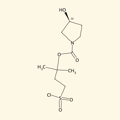 CC(C)(CCS(=O)(=O)Cl)OC(=O)N1CC[C@H](O)C1